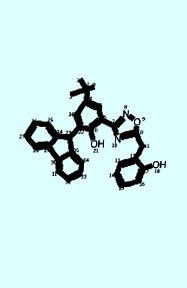 CC(C)(C)c1cc(-c2noc(Cc3ccccc3O)n2)c(O)c(C2c3ccccc3-c3ccccc32)c1